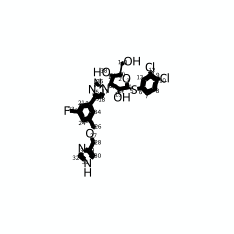 OC[C@H]1O[C@@H](Sc2ccc(Cl)c(Cl)c2)[C@H](O)[C@@H](n2cc(-c3cc(F)cc(COCc4c[nH]cn4)c3)nn2)[C@H]1O